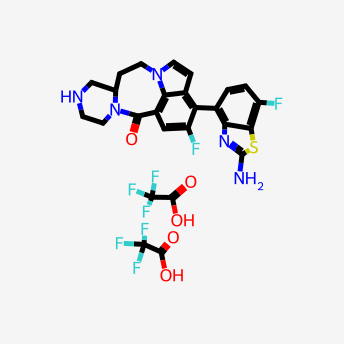 Nc1nc2c(-c3c(F)cc4c5c3ccn5CCC3CNCCN3C4=O)ccc(F)c2s1.O=C(O)C(F)(F)F.O=C(O)C(F)(F)F